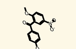 COc1ccc(C(=O)c2cc([N+](=O)[O-])ccc2OC)cc1